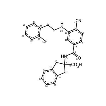 N#Cc1ccc(C(=O)NC2(C(=O)O)Cc3ccccc3C2)cc1NCCc1ccccc1F